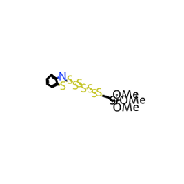 CO[Si](CCCSSSSSSSc1nc2ccccc2s1)(OC)OC